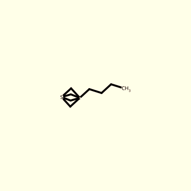 CCCCI123CS(C1)(C2)C3